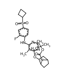 Cc1c(Nc2ccc(S(=O)(=O)C3CCC3)cc2F)ncnc1OC1CC2CCC1N2C(=O)OC(C)(C)C